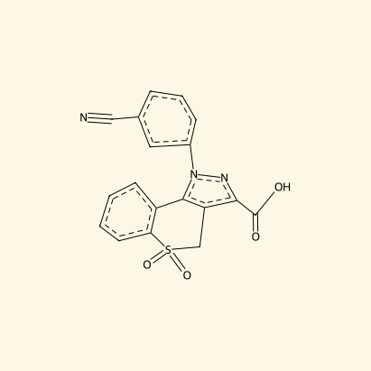 N#Cc1cccc(-n2nc(C(=O)O)c3c2-c2ccccc2S(=O)(=O)C3)c1